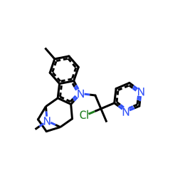 Cc1ccc2c(c1)c1c(n2CC(C)(Cl)c2ccncn2)CC2CCC1N2C